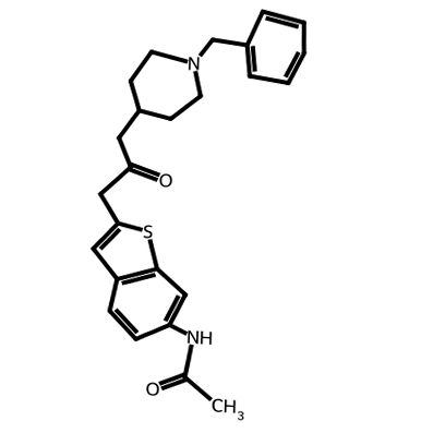 CC(=O)Nc1ccc2cc(CC(=O)CC3CCN(Cc4ccccc4)CC3)sc2c1